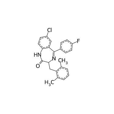 Cc1cccc(C)c1CC1N=C(c2ccc(F)cc2)c2cc(Cl)ccc2NC1=O